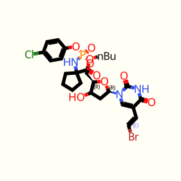 CCCCOC(=O)C1(NP(=O)(OC[C@H]2O[C@@H](n3cc(/C=C/Br)c(=O)[nH]c3=O)CC2O)Oc2ccc(Cl)cc2)CCCC1